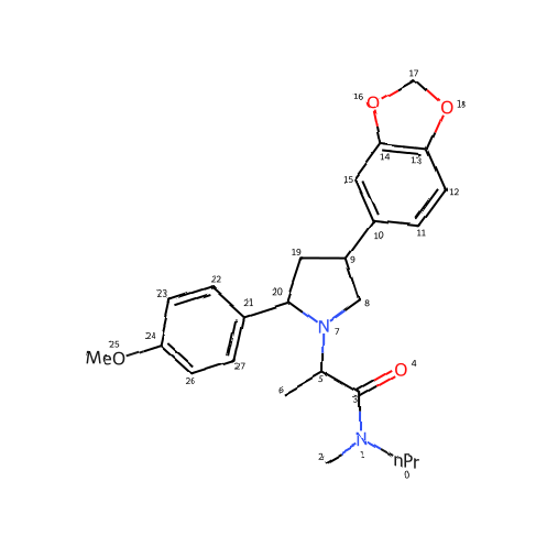 CCCN(C)C(=O)C(C)N1CC(c2ccc3c(c2)OCO3)CC1c1ccc(OC)cc1